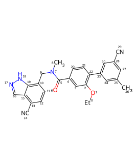 CCOc1cc(C(=O)N(C)Cc2ccc(C#N)c3cn[nH]c23)ccc1-c1cc(C)cc(C#N)c1